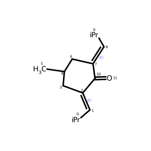 CC(C)/C=C1\CC(C)C/C(=C\C(C)C)C1=O